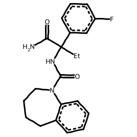 CCC(NC(=O)N1CCCCc2ccccc21)(C(N)=O)c1cccc(F)c1